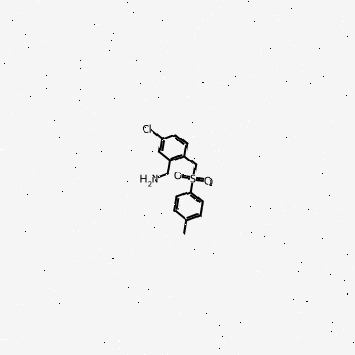 Cc1ccc(S(=O)(=O)Cc2ccc(Cl)cc2CN)cc1